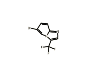 FC(F)(F)c1cnc2ccc(Br)cn12